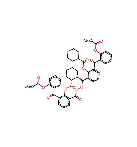 COC(=O)Oc1ccccc1C(=O)c1cccc(C(=O)OOC(=O)c2cccc(C(=O)c3ccccc3OC(=O)OC)c2OC(=O)C2CCCCC2)c1OC(=O)C1CCCCC1